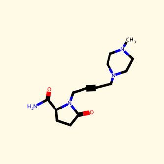 CN1CCN(CC#CCN2C(=O)CCC2C(N)=O)CC1